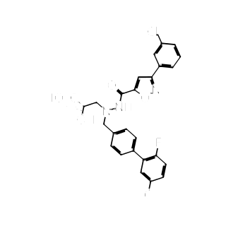 O=C(NN(Cc1ccc(-c2cc(Cl)ccc2F)cc1)C[C@@H](O)C(=O)O)c1cc(-c2cccc(Cl)c2)no1